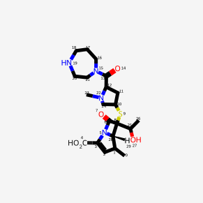 CC1C=C(C(=O)O)N2C(=O)C(SC3CC(C(=O)N4CCCNCC4)N(C)C3)(C(C)O)[C@H]12